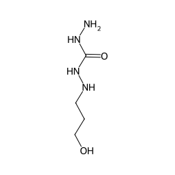 NNC(=O)NNCCCO